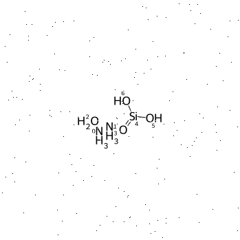 N.N.O.O=[Si](O)O